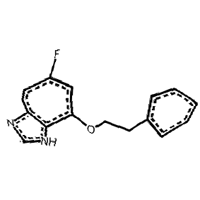 Fc1cc(OCCc2ccccc2)c2[nH][c]nc2c1